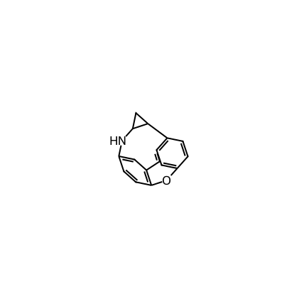 C=Cc1cc2ccc1Oc1ccc(cc1)C1CC1N2